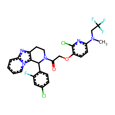 CN(CC(F)(F)F)c1ccc(OCC(=O)N2CCc3nc4ccccn4c3C2c2ccc(Cl)cc2F)c(Cl)n1